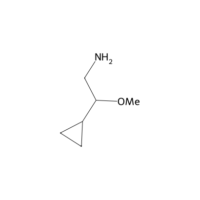 COC(CN)C1CC1